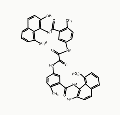 Cc1ccc(NC(=O)C(=O)Nc2ccc(C)c(C(=O)Nc3c(O)ccc4cccc(S(=O)(=O)O)c34)c2)cc1C(=O)Nc1c(O)ccc2cccc(S(=O)(=O)O)c12